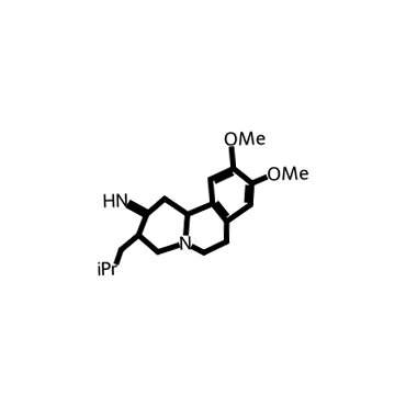 COc1cc2c(cc1OC)C1CC(=N)C(CC(C)C)CN1CC2